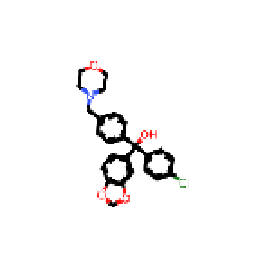 OC(c1ccc(Cl)cc1)(c1ccc(CN2CCOCC2)cc1)c1ccc2c(c1)OCO2